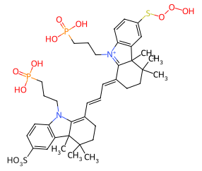 CC1(C)CCC(/C=C/C=C2\CCC(C)(C)C3(C)C2=[N+](CCCP(=O)(O)O)c2ccc(SOOO)cc23)=C2N(CCCP(=O)(O)O)c3ccc(S(=O)(=O)O)cc3C21C